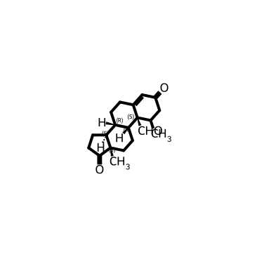 CC1CC(=O)C=C2CC[C@@H]3[C@@H](CC[C@]4(C)C(=O)CC[C@@H]34)[C@]21C=O